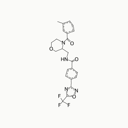 Cc1cccc(C(=O)N2CCOCC2CNC(=O)c2ccc(-c3noc(C(F)(F)F)n3)cc2)c1